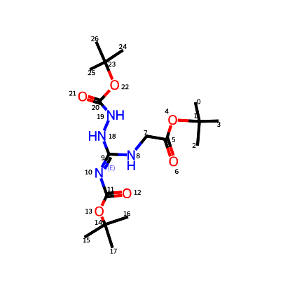 CC(C)(C)OC(=O)CN/C(=N\C(=O)OC(C)(C)C)NNC(=O)OC(C)(C)C